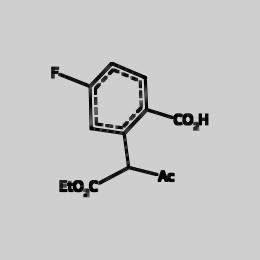 CCOC(=O)C(C(C)=O)c1cc(F)ccc1C(=O)O